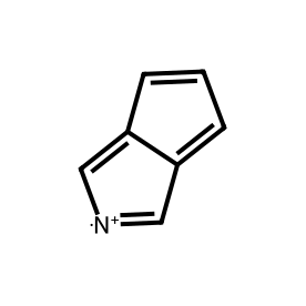 C1=CC2=C[N+]=CC2=C1